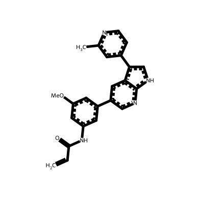 C=CC(=O)Nc1cc(OC)cc(-c2cnc3[nH]cc(-c4ccnc(C)c4)c3c2)c1